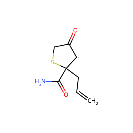 C=CCC1(C(N)=O)[CH]C(=O)CS1